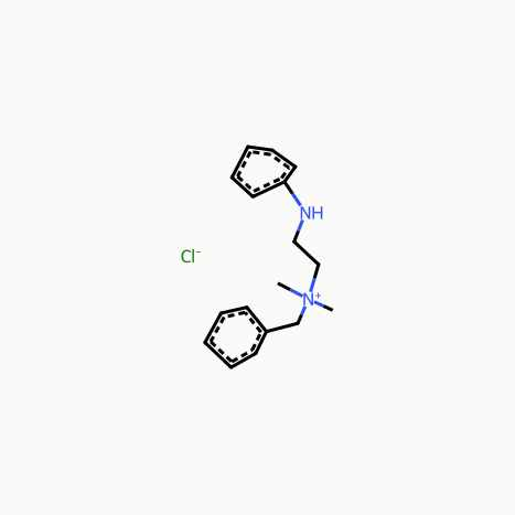 C[N+](C)(CCNc1ccccc1)Cc1ccccc1.[Cl-]